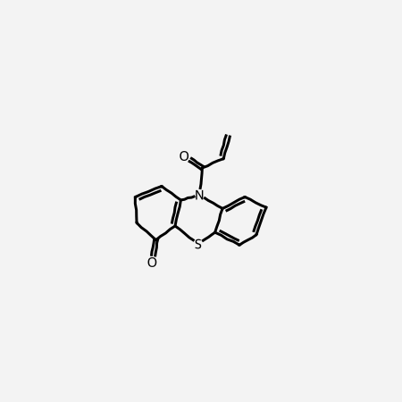 C=CC(=O)N1C2=C(Sc3ccccc31)C(=O)CC=C2